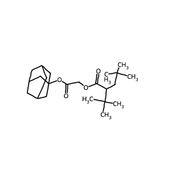 CC(C)(C)CC(C(=O)OCC(=O)OC12CC3CC(CC(C3)C1)C2)C(C)(C)C